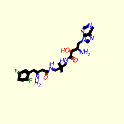 CC(C)(CNC(=O)CC(N)Cc1cc(F)ccc1F)CNC(=O)[C@@H](O)[C@H](N)Cn1cnc2cncnc21